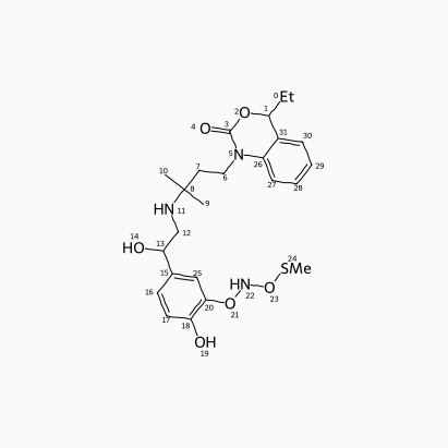 CCC1OC(=O)N(CCC(C)(C)NCC(O)c2ccc(O)c(ONOSC)c2)c2ccccc21